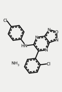 Clc1ccc(Nc2nc3nonc3nc2-c2ccccc2Cl)cc1.N